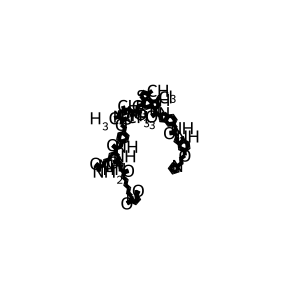 Cc1csc2c(OC(=O)N(C)CC(C)(C)CN(C)C(=O)OCc3ccc(NC(=O)C(CCCNC(N)=O)NC(=O)CNC(=O)CCCCCN4C(=O)C=CC4=O)cc3)cc3c(c12)C(CCl)CN3C(=O)c1cc2cc(NC(=O)c3cc4cc(OCCN5CCCC5)ccc4[nH]3)ccc2[nH]1